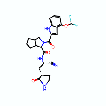 N#C[C@H](C[C@@H]1CCNC1=O)NC(=O)C1C2CCCC2CN1C(=O)c1cc2c(OC(F)F)cccc2[nH]1